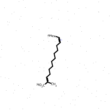 CCCCCC/C=C\CCCCCCCCC=C(C)C(=O)O